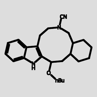 CCCCOC1CC2CCCCC2CN(C#N)CCc2c1[nH]c1ccccc21